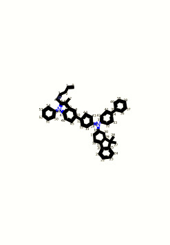 C=CC/C=C\c1c(C)c2cc(-c3ccc(N(C4=CC=C5c6ccccc6C(C)(C)C5C4)c4ccc(-c5ccccc5)cc4)cc3)ccc2n1-c1ccccc1